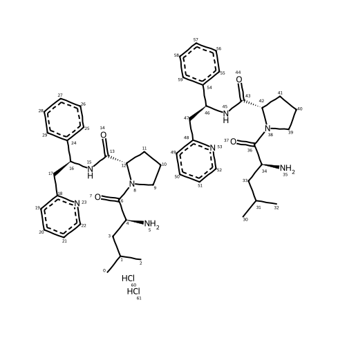 CC(C)C[C@H](N)C(=O)N1CCC[C@H]1C(=O)N[C@@H](Cc1ccccn1)c1ccccc1.CC(C)C[C@H](N)C(=O)N1CCC[C@H]1C(=O)N[C@@H](Cc1ccccn1)c1ccccc1.Cl.Cl